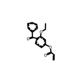 C=CC(=O)Oc1ccc(C(=O)c2ccccc2)c(OCC)c1